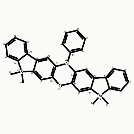 C[Si]1(C)c2ccccc2-c2cc3c(cc21)Oc1cc2c(cc1N3c1ccccc1)-c1ccccc1S2(C)C